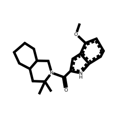 COc1cccc2[nH]c(C(=O)N3CC4CCCCC4CC3(C)C)cc12